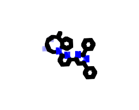 C=C1/C=C\C=C/CN(c2cccc(-c3cc(-c4ccccc4)nc(-c4ccccc4)n3)n2)c2ccccc21